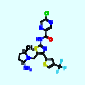 C[C@@H]1CC[C@@H](N)N1Cc1sc(NC(=O)c2cnc(Cl)cn2)nc1-c1cc(C(F)(F)F)cs1